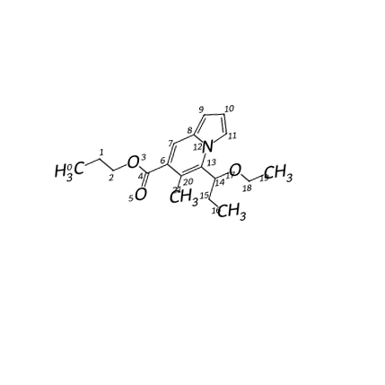 CCCOC(=O)c1cc2cccn2c(C(CC)OCC)c1C